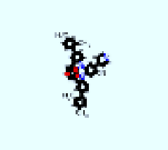 Cc1ccc(-c2ccc3c(c2)c2ccccc2n3-c2cc(C#N)c(-c3ccncc3)cc2-n2c3ccccc3c3cc(-c4ccc(C)cc4C)ccc32)c(C)c1